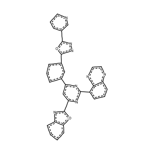 c1cncc(-c2nnc(-c3cccc(-c4cc(-c5nc6ccccc6o5)nc(-c5cccc6nccnc56)n4)c3)o2)c1